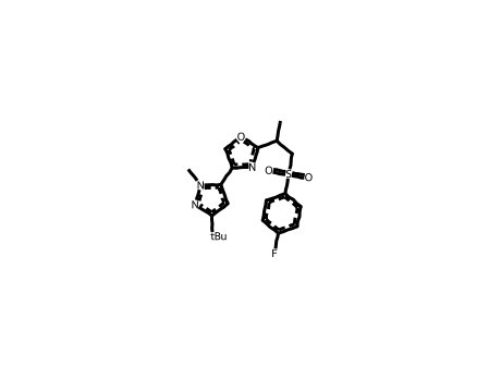 CC(CS(=O)(=O)c1ccc(F)cc1)c1nc(-c2cc(C(C)(C)C)nn2C)co1